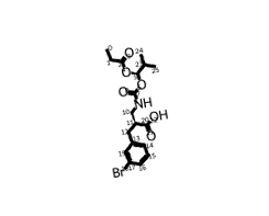 CCC(=O)O[C@H](OC(=O)NC[C@H](Cc1cccc(Br)c1)C(=O)O)C(C)C